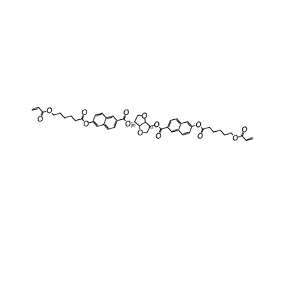 C=CC(=O)OCCCCCC(=O)Oc1ccc2cc(C(=O)O[C@H]3COC4C3OC[C@H]4OC(=O)c3ccc4cc(OC(=O)CCCCCOC(=O)C=C)ccc4c3)ccc2c1